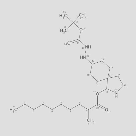 CCCCCCCCC(C)C(=O)OC1NCCC12CCC(NNC(=O)OC(C)(C)C)CC2